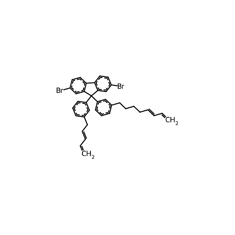 C=C/C=C/CCCCc1cccc(C2(c3cccc(C/C=C/C=C)c3)c3cc(Br)ccc3-c3ccc(Br)cc32)c1